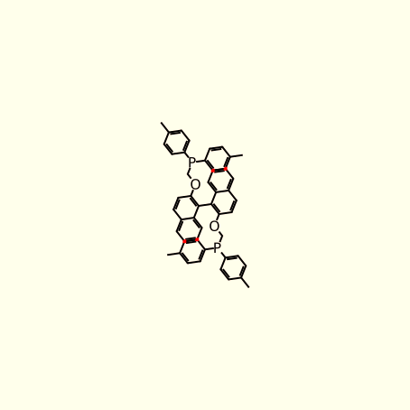 Cc1ccc(P(COc2ccc3ccccc3c2-c2c(OCP(c3ccc(C)cc3)c3ccc(C)cc3)ccc3ccccc23)c2ccc(C)cc2)cc1